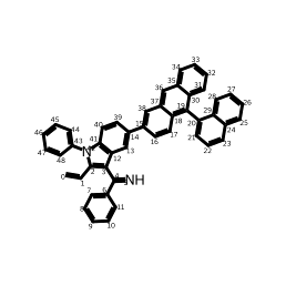 C=Cc1c(C(=N)c2ccccc2)c2cc(-c3ccc4c(-c5cccc6ccccc56)c5ccccc5cc4c3)ccc2n1-c1ccccc1